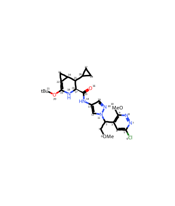 COCC(c1cc(Cl)nnc1OC)n1cc(NC(=O)[C@H]2NC(OC(C)(C)C)=C3CC3C2C2CC2)cn1